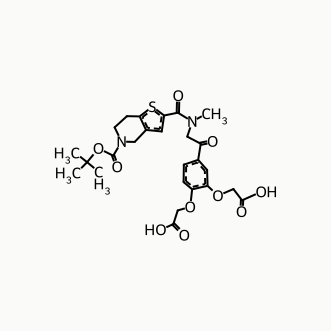 CN(CC(=O)c1ccc(OCC(=O)O)c(OCC(=O)O)c1)C(=O)c1cc2c(s1)CCN(C(=O)OC(C)(C)C)C2